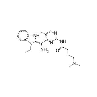 CCN1/C(=C(\N)c2nc(NC(=O)CCCN(C)C)ncc2C)Nc2ccccc21